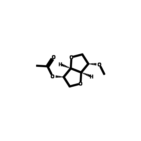 CO[C@H]1CO[C@H]2[C@@H]1OC[C@@H]2OC(C)=O